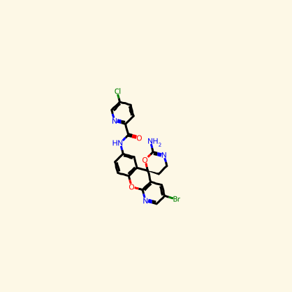 NC1=NCC[C@]2(O1)c1cc(NC(=O)c3ccc(Cl)cn3)ccc1Oc1ncc(Br)cc12